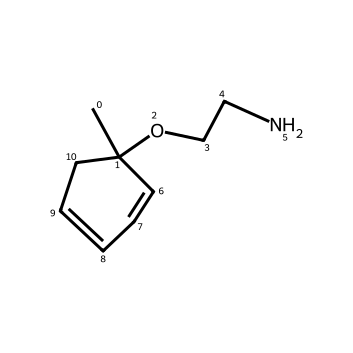 CC1(OCCN)C=CC=CC1